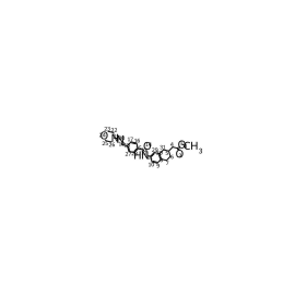 COC(=O)CC1CCc2ccc(NC(=O)c3ccc(C=NN4CCOCC4)cc3)cc2C1